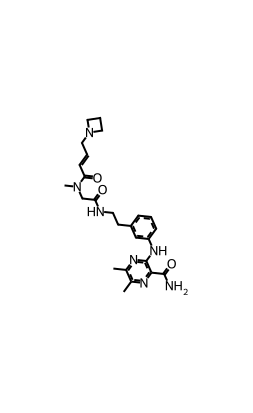 Cc1nc(Nc2cccc(CCNC(=O)CN(C)C(=O)/C=C/CN3CCC3)c2)c(C(N)=O)nc1C